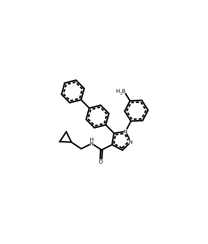 Bc1cccc(-n2ncc(C(=O)NCC3CC3)c2-c2ccc(-c3ccccc3)cc2)c1